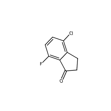 O=C1CCc2c(Cl)ccc(F)c21